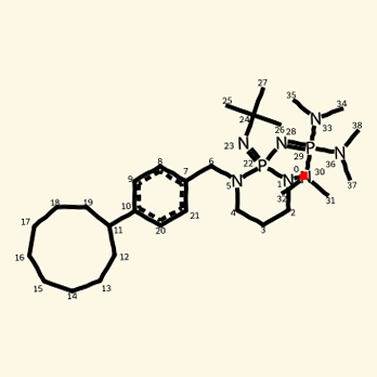 CN1CCCN(Cc2ccc(C3CCCCCCCC3)cc2)P1(=NC(C)(C)C)N=P(N(C)C)(N(C)C)N(C)C